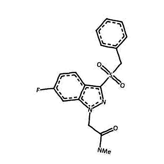 CNC(=O)Cn1nc(S(=O)(=O)Cc2ccccc2)c2ccc(F)cc21